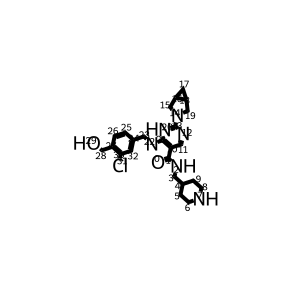 O=C(NCC1CCNCC1)c1cnc(N2CC3CC3C2)nc1NCc1ccc(CO)c(Cl)c1